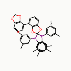 Cc1cc(C)cc(P(c2cc(C)cc(C)c2)C2(P(c3cc(C)cc(C)c3)c3cc(C)cc(C)c3)Oc3cccc(-c4cccc5c4OCO5)c3O2)c1